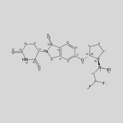 CCN(CC(F)F)[C@@H]1CCC[C@H]1Oc1ccc2c(c1)CN(C1CCC(=O)NC1=O)C2=O